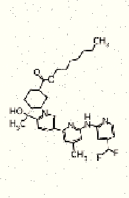 CCCCCCCOC(=O)[C@H]1CC[C@H](C(C)(O)c2ccc(-c3cc(C)cc(Nc4cc(C(F)F)ccn4)n3)cn2)CC1